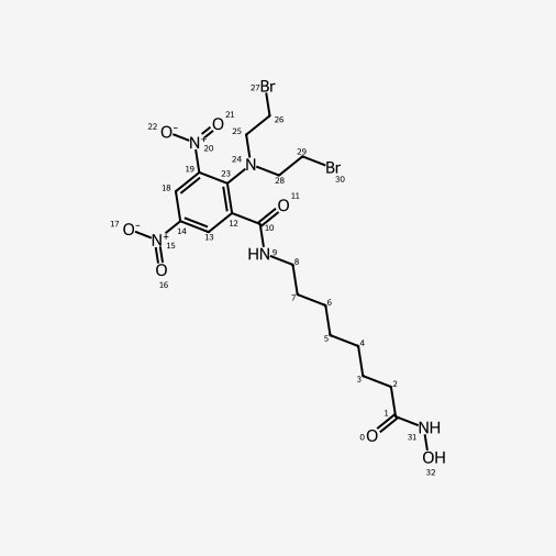 O=C(CCCCCCCNC(=O)c1cc([N+](=O)[O-])cc([N+](=O)[O-])c1N(CCBr)CCBr)NO